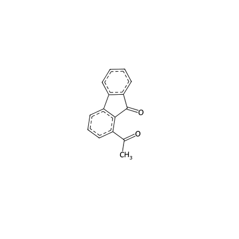 CC(=O)c1cccc2c1C(=O)c1ccccc1-2